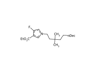 CCCCCCCCCCCCC(C)(C)CCn1cc(F)c(C(=O)OCC)c1